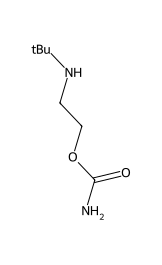 CC(C)(C)NCCOC(N)=O